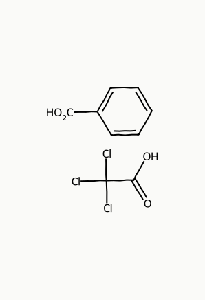 O=C(O)C(Cl)(Cl)Cl.O=C(O)c1ccccc1